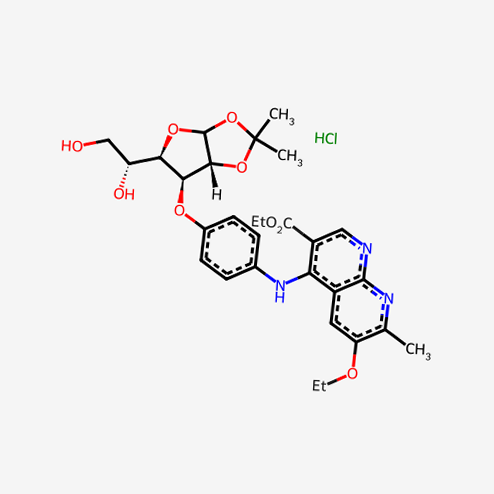 CCOC(=O)c1cnc2nc(C)c(OCC)cc2c1Nc1ccc(O[C@H]2[C@@H]([C@H](O)CO)OC3OC(C)(C)O[C@@H]32)cc1.Cl